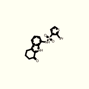 CC(C)c1sccc1S(=O)(=O)Nc1cccc2c3c([nH]c12)C(=O)CCC3